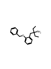 CCC(N)(CC)Cc1ccccc1OCc1ccccc1